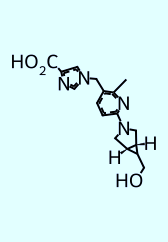 Cc1nc(N2C[C@@H]3C(CO)[C@@H]3C2)ccc1Cn1cnc(C(=O)O)c1